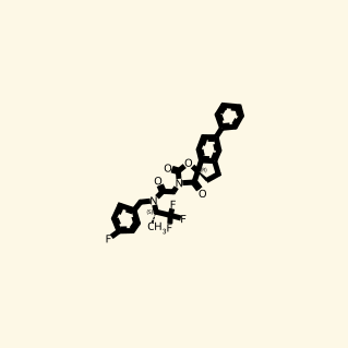 C[C@H](N(Cc1ccc(F)cc1)C(=O)CN1C(=O)O[C@@]2(CCc3cc(-c4ccccc4)ccc32)C1=O)C(F)(F)F